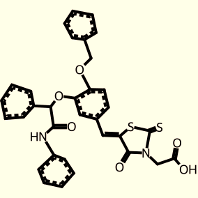 O=C(O)CN1C(=O)C(=Cc2ccc(OCc3ccccc3)c(OC(C(=O)Nc3ccccc3)c3ccccc3)c2)SC1=S